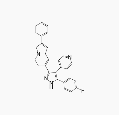 Fc1ccc(-c2[nH]nc(C3=CC4C=C(c5ccccc5)CN4CC3)c2-c2ccncc2)cc1